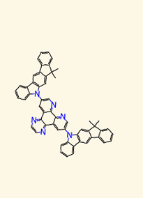 CC1(C)c2ccccc2-c2cc3c4ccccc4n(-c4cnc5c(c4)c4nccnc4c4cc(-n6c7ccccc7c7cc8c(cc76)C(C)(C)c6ccccc6-8)cnc45)c3cc21